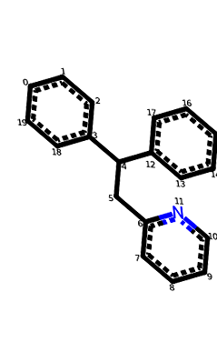 c1ccc(C(Cc2ccccn2)c2ccccc2)cc1